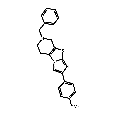 COc1ccc(-c2cn3c4c(sc3n2)CN(Cc2ccccc2)CC4)cc1